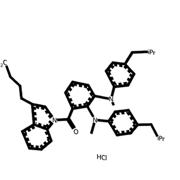 CC(C)Cc1ccc(N(C)c2cccc(C(=O)n3cc(CCCC(=O)O)c4ccccc43)c2N(C)c2ccc(CC(C)C)cc2)cc1.Cl